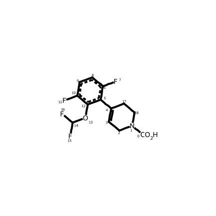 O=C(O)N1CC=C(c2c(F)ccc(F)c2OC(F)F)CC1